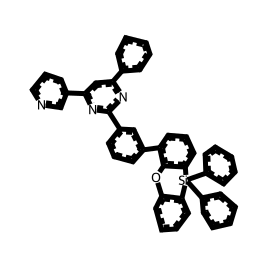 c1ccc(-c2cc(-c3cccnc3)nc(-c3cccc(-c4cccc5c4Oc4ccccc4[Si]5(c4ccccc4)c4ccccc4)c3)n2)cc1